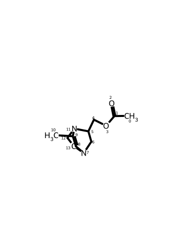 CC(=O)OCC1CN2C=C(C)N1CC2